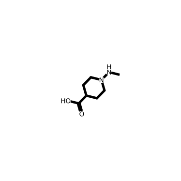 CNN1CCC(C(=O)O)CC1